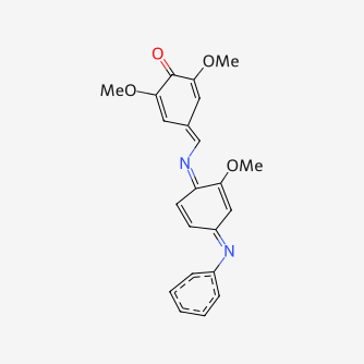 COC1=CC(=CN=C2C=CC(=Nc3ccccc3)C=C2OC)C=C(OC)C1=O